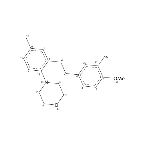 COc1ccc(CCc2cc(C)ccc2N2CCOCC2)cc1C